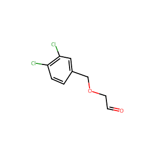 O=CCOCc1ccc(Cl)c(Cl)c1